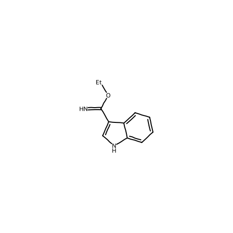 CCOC(=N)c1c[nH]c2ccccc12